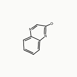 [O]c1cnc2ccccc2n1